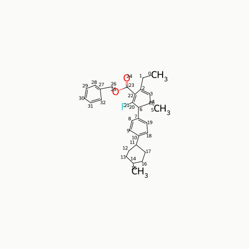 CCC1=C[C@H](C)C(c2ccc(C3CCC(C)CC3)cc2)C(F)=C1C(=O)OCc1ccccc1